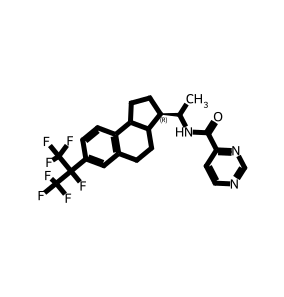 CC(NC(=O)c1ccncn1)[C@@H]1CCC2c3ccc(C(F)(C(F)(F)F)C(F)(F)F)cc3CCC21